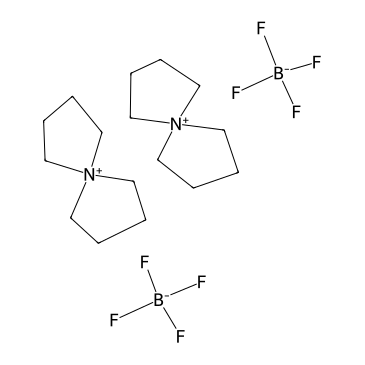 C1CC[N+]2(C1)CCCC2.C1CC[N+]2(C1)CCCC2.F[B-](F)(F)F.F[B-](F)(F)F